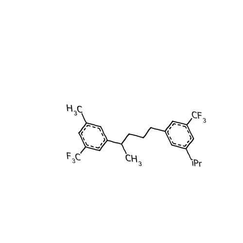 Cc1cc(C(C)CCCc2cc(C(C)C)cc(C(F)(F)F)c2)cc(C(F)(F)F)c1